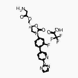 NCC(=O)OC[C@H]1CN(c2ccc(-c3ccc(-n4nccn4)nc3)c(F)c2)C(=O)O1.O=C(O)C(F)(F)F